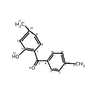 Cc1ccc(C(=O)c2ccc(C)cc2O)cc1